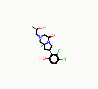 C[C@@H](O)CN1CC(=O)N2C[C@@H](c3c(O)ccc(Cl)c3Cl)C[C@H]2C1